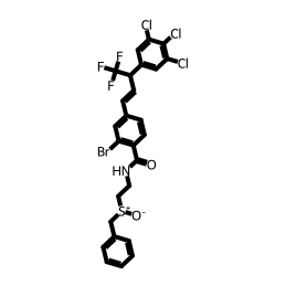 O=C(NCC[S+]([O-])Cc1ccccc1)c1ccc(C=CC(c2cc(Cl)c(Cl)c(Cl)c2)C(F)(F)F)cc1Br